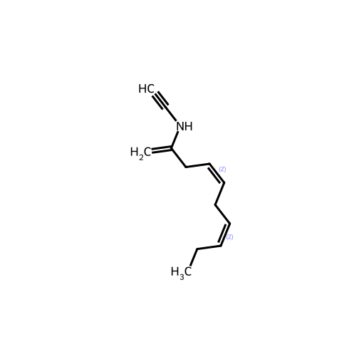 C#CNC(=C)C/C=C\C/C=C\CC